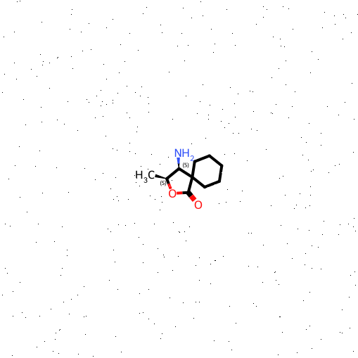 C[C@@H]1OC(=O)C2(CCCCC2)[C@@H]1N